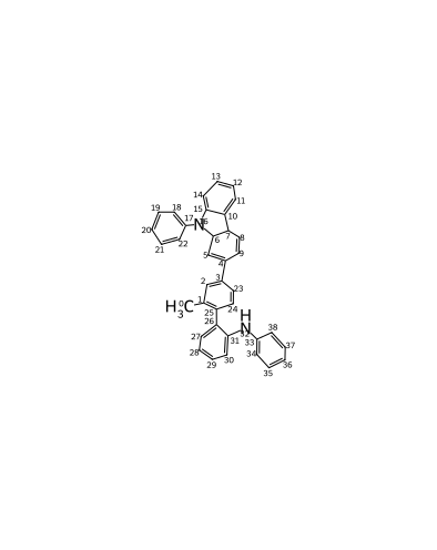 Cc1cc(C2=CC3C(C=C2)c2ccccc2N3c2ccccc2)ccc1-c1ccccc1Nc1ccccc1